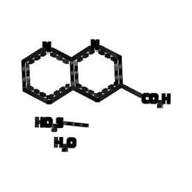 CS(=O)(=O)O.O.O=C(O)c1cnc2ncccc2c1